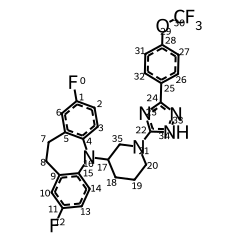 Fc1ccc2c(c1)CCc1cc(F)ccc1N2C1CCCN(c2nc(-c3ccc(OC(F)(F)F)cc3)n[nH]2)C1